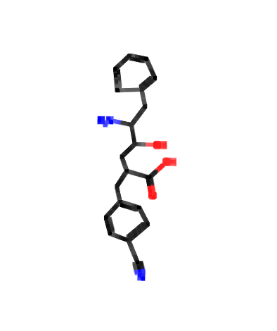 N#Cc1ccc(CC(CC(O)C(N)Cc2ccccc2)C(=O)O)cc1